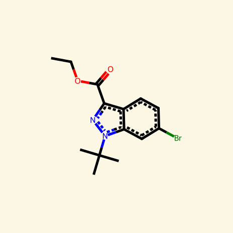 CCOC(=O)c1nn(C(C)(C)C)c2cc(Br)ccc12